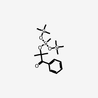 CC(C)(O[Si](C)(O[Si](C)(C)C)O[Si](C)(C)C)C(=O)c1ccccc1